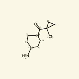 N#CC1(C(=O)N2CCN(N)CC2)CC1